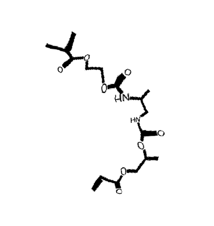 C=CC(=O)OCC(C)OC(=O)NCC(C)NC(=O)OCCOC(=O)C(=C)C